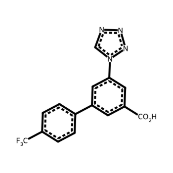 O=C(O)c1cc(-c2ccc(C(F)(F)F)cc2)cc(-n2cnnn2)c1